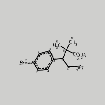 CC(C)CC(c1ccc(Br)cc1)C(C)(C)C(=O)O